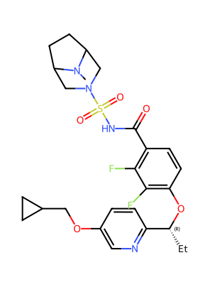 CC[C@@H](Oc1ccc(C(=O)NS(=O)(=O)N2CC3CCC(C2)N3C)c(F)c1F)c1ccc(OCC2CC2)cn1